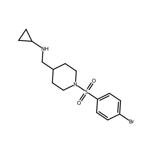 O=S(=O)(c1ccc(Br)cc1)N1CCC(CNC2CC2)CC1